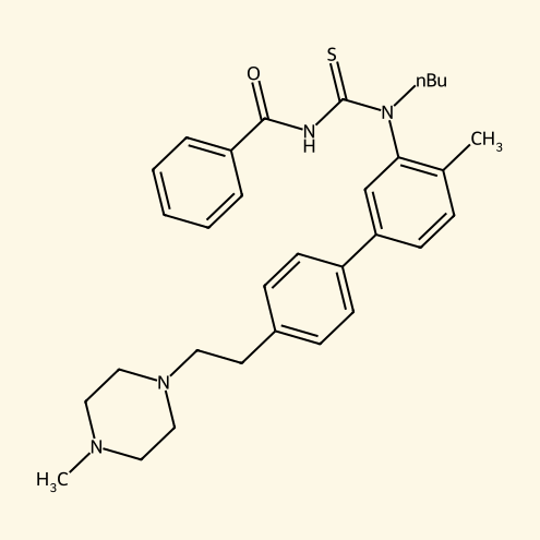 CCCCN(C(=S)NC(=O)c1ccccc1)c1cc(-c2ccc(CCN3CCN(C)CC3)cc2)ccc1C